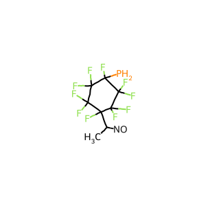 CC(N=O)C1(F)C(F)(F)C(F)(F)C(F)(P)C(F)(F)C1(F)F